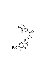 O=C1N[C@]2(CO1)C[C@H](C(=O)N1CC(CC(F)(F)c3ccc(C(F)(F)F)c(F)c3F)C1)C2